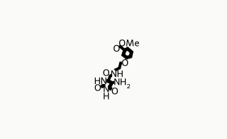 COC(=O)c1cccc(OCCCNC(=O)c2[nH]c(=O)[nH]c(=O)c2N)c1